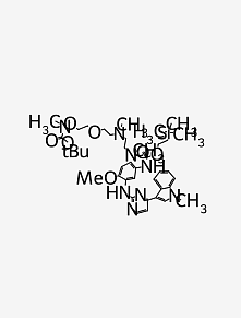 COc1cc(N(C)CCN(C)CCOCCON(C)C(=O)OC(C)(C)C)c(NC(=O)OCC[Si](C)(C)C)cc1Nc1nccc(-c2cn(C)c3ccccc23)n1